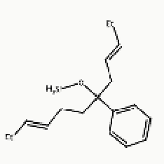 CCC=CCCC(CC=CCC)(O[SiH3])c1ccccc1